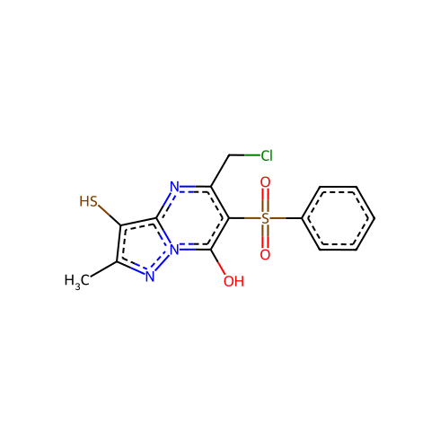 Cc1nn2c(O)c(S(=O)(=O)c3ccccc3)c(CCl)nc2c1S